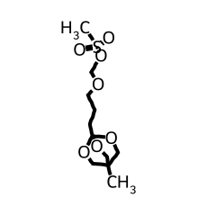 CC12COC(CCCOCOS(C)(=O)=O)(OC1)OC2